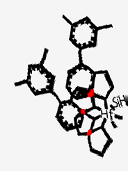 Cc1cc(C)cc(-c2cccc3c2C=C[CH]3[Hf]([CH3])([CH3])(=[SiH2])([CH]2CCCC2)([CH]2CCCC2)[CH]2C=Cc3c(-c4cc(C)cc(C)c4)cccc32)c1